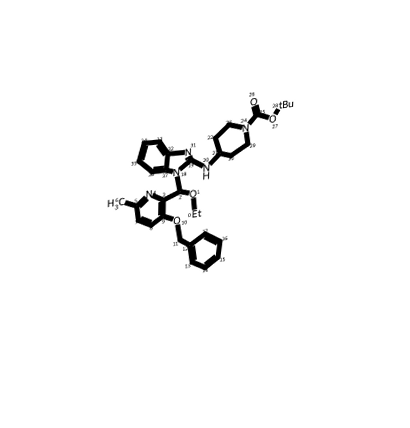 CCOC(c1nc(C)ccc1OCc1ccccc1)n1c(NC2CCN(C(=O)OC(C)(C)C)CC2)nc2ccccc21